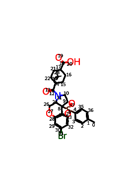 Cc1ccc(S(=O)(=O)C23CCN(C(=O)C45CCC(C(=O)O)(CC4)CC5)C2COc2cc(Br)ccc23)cc1